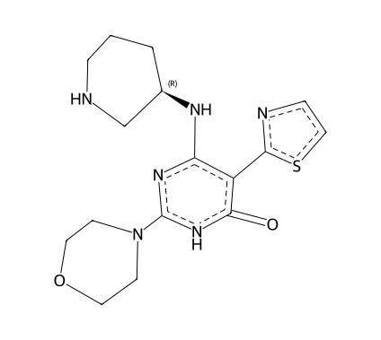 O=c1[nH]c(N2CCOCC2)nc(N[C@@H]2CCCNC2)c1-c1nccs1